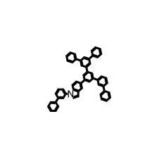 c1ccc(-c2cccc(-c3cc(-c4cc(-c5ccccc5)cc(-c5ccccc5)c4)cc(-c4ccc5c(ccn5-c5cccc(-c6ccccc6)c5)c4)c3)c2)cc1